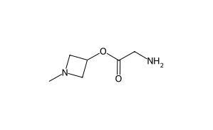 CN1CC(OC(=O)CN)C1